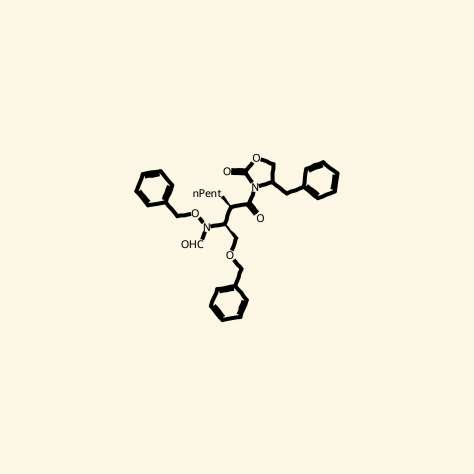 CCCCC[C@@H](C(=O)N1C(=O)OCC1Cc1ccccc1)[C@@H](COCc1ccccc1)N(C=O)OCc1ccccc1